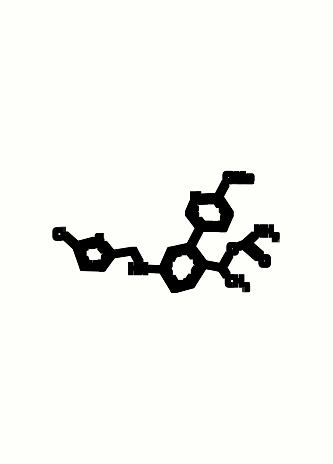 COc1ccc(-c2cc(NCc3ccc(Cl)s3)ccc2C(C)OC(N)=O)cn1